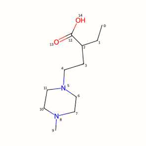 CCC(CCN1CCN(C)CC1)C(=O)O